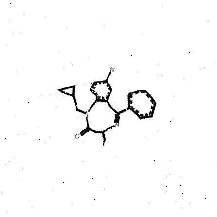 O=C1C(F)N=C(c2ccccc2)c2cc(Br)ccc2N1CC1CC1